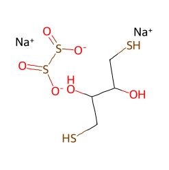 O=S([O-])S(=O)[O-].OC(CS)C(O)CS.[Na+].[Na+]